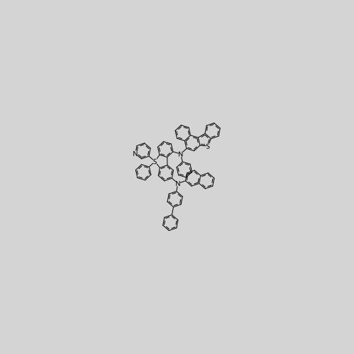 c1ccc(-c2ccc(N(c3ccc4c(c3)-c3c(N(c5ccccc5)c5cc6sc7ccccc7c6c6ccccc56)cccc3S4(c3ccccc3)c3cccnc3)c3ccc4ccccc4c3)cc2)cc1